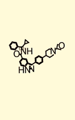 O=C(N[C@H](c1ccccc1)C1CC1)c1ccc2[nH]nc(-c3ccc(C4CCN(C5COC5)CC4)cc3)c2c1